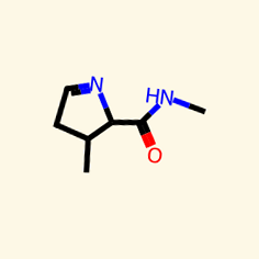 CNC(=O)C1N=CCC1C